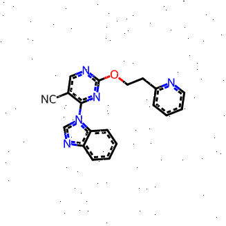 N#Cc1cnc(OCCc2ccccn2)nc1-n1cnc2ccccc21